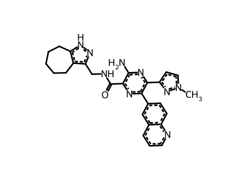 Cn1ccc(-c2nc(N)c(C(=O)NCc3n[nH]c4c3CCCCC4)nc2-c2ccc3ncccc3c2)n1